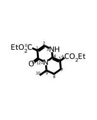 CCOC(=O)C1=CNC2=C(C(=O)OCC)CCC(C)N2C1=O